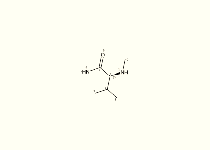 CN[C@H](C([NH])=O)C(C)C